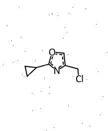 ClCc1coc(C2CC2)n1